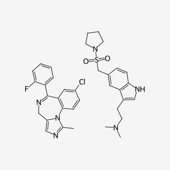 CN(C)CCc1c[nH]c2ccc(CS(=O)(=O)N3CCCC3)cc12.Cc1ncc2n1-c1ccc(Cl)cc1C(c1ccccc1F)=NC2